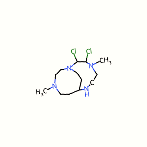 CN1CCC2CCN(CC1)C(Cl)C(Cl)N(C)CCN2